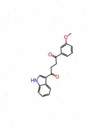 COc1cccc(C(=O)CCC(=O)c2c[nH]c3ccccc23)c1